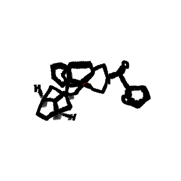 O=C(c1ccco1)N1CCC(CCC2[C@@H]3CC[C@H]2C[C@@H](C2C=CC=CC2)C3)(c2ccccc2)CC1